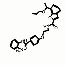 CCCOC(C)c1cccc2cc(C(=O)NCCOc3ccc(C(=O)Nc4ccccc4N)cc3)oc12